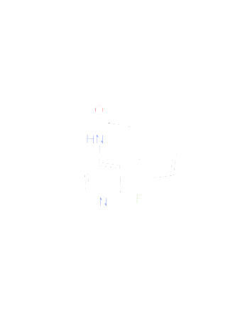 Cc1cc2c(c(F)n1)-c1ccccc1CC(=O)N2